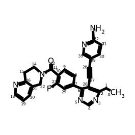 CCc1ncnc(-c2ccc(C(=O)N3CCc4ncccc4C3)c(F)c2)c1C#Cc1ccc(N)nc1